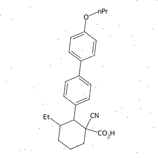 CCCOc1ccc(-c2ccc(C3C(CC)CCCC3(C#N)C(=O)O)cc2)cc1